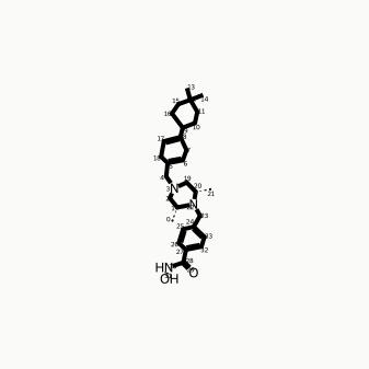 C[C@@H]1CN(CC2=CCC(C3CCC(C)(C)CC3)=CC2)C[C@H](C)N1Cc1ccc(C(=O)NO)cc1